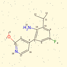 COc1cc(-c2cc(F)cc(C(C)C)c2N)ccn1